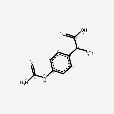 CC(C(=O)O)c1ccc(NC(N)=S)cc1